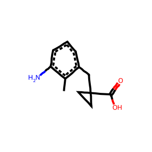 Cc1c(N)cccc1CC1(C(=O)O)CC1